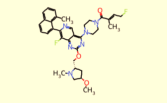 CO[C@@H]1C[C@@H](COc2nc(N3CCN(C(=O)/C(C)=C/CF)CC3)c3cnc(-c4cccc5cccc(C)c45)c(F)c3n2)N(C)C1